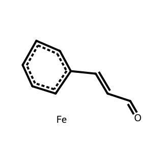 O=CC=Cc1ccccc1.[Fe]